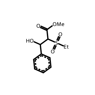 CCS(=O)(=O)C(C(=O)OC)C(O)c1ccccc1